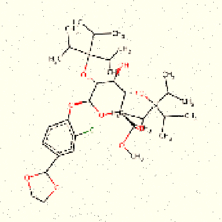 COC(=O)[C@H]1O[C@@H](Oc2ccc(C3OCCO3)cc2Cl)[C@H](O[Si](C(C)C)(C(C)C)C(C)C)[C@@H](O)[C@@H]1O[Si](C(C)C)(C(C)C)C(C)C